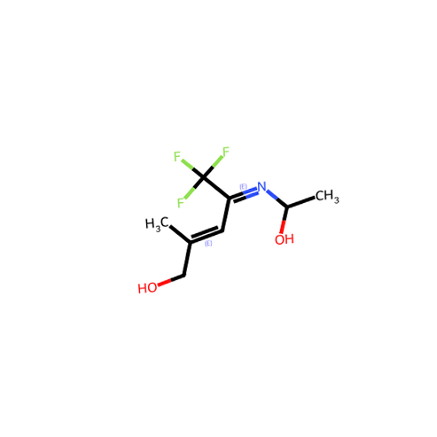 C/C(=C\C(=N/C(C)O)C(F)(F)F)CO